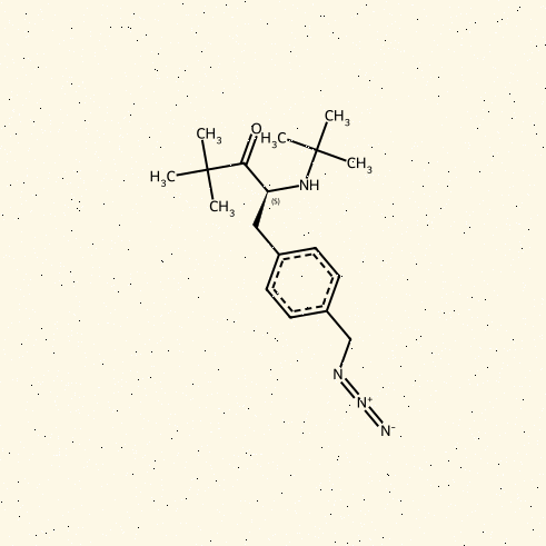 CC(C)(C)N[C@@H](Cc1ccc(CN=[N+]=[N-])cc1)C(=O)C(C)(C)C